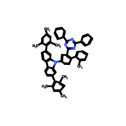 Cc1cc(C)c(-c2ccc3c4ccc(-c5c(C)cc(C)cc5C)cc4n(-c4ccc(-c5ccccc5C(F)(F)F)c(-c5nc(-c6ccccc6)nc(-c6ccccc6)n5)c4)c3c2)c(C)c1